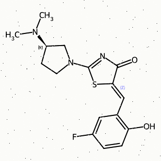 CN(C)[C@@H]1CCN(C2=NC(=O)/C(=C/c3cc(F)ccc3O)S2)C1